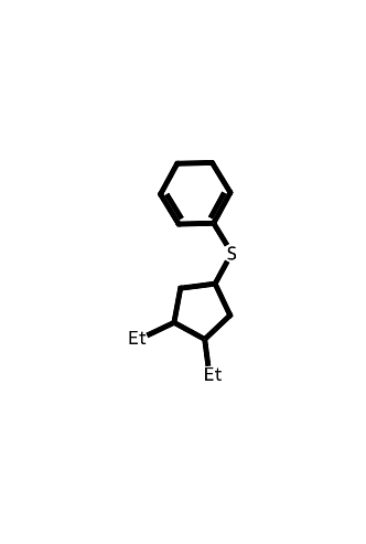 CCC1CC(SC2=CCCC=C2)CC1CC